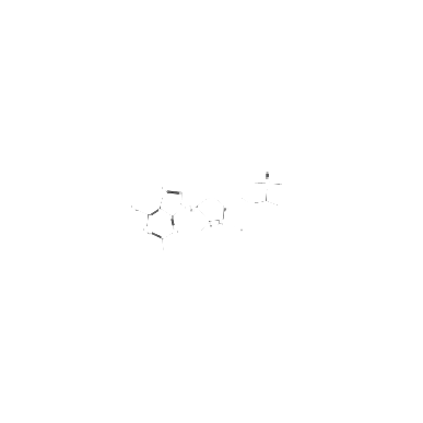 Nc1nc(I)nc2c1ncn2[C@@H]1O[C@H](COC(C(=O)O)P(=O)(O)O)[C@H](O)[C@H]1O